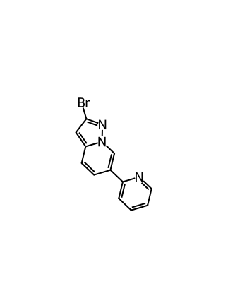 Brc1cc2ccc(-c3ccccn3)cn2n1